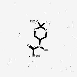 CCCCCC(=O)N(O)C1COC(C)(C(=O)OCC)OC1